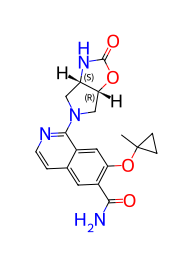 CC1(Oc2cc3c(N4C[C@@H]5NC(=O)O[C@@H]5C4)nccc3cc2C(N)=O)CC1